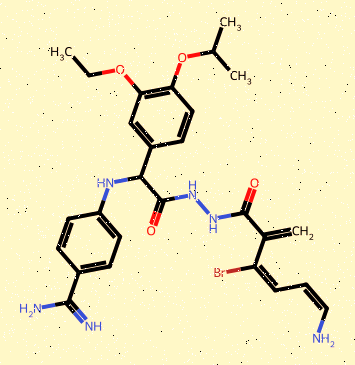 C=C(C(=O)NNC(=O)C(Nc1ccc(C(=N)N)cc1)c1ccc(OC(C)C)c(OCC)c1)/C(Br)=C\C=C/N